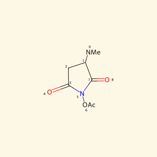 CNC1CC(=O)N(OC(C)=O)C1=O